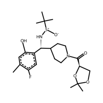 Cc1cc(O)c([C@H](N[S+]([O-])C(C)(C)C)C2CCN(C(=O)[C@H]3COC(C)(C)O3)CC2)cc1F